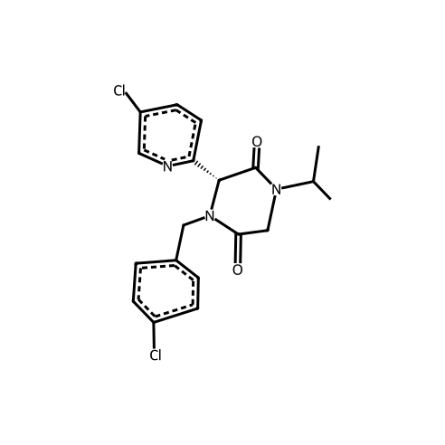 CC(C)N1CC(=O)N(Cc2ccc(Cl)cc2)[C@H](c2ccc(Cl)cn2)C1=O